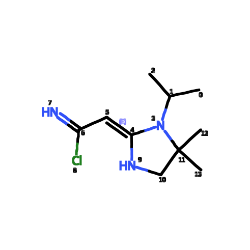 CC(C)N1/C(=C/C(=N)Cl)NCC1(C)C